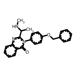 CNC(C)c1nc2ccccc2c(=O)n1-c1ccc(OCc2ccccc2)cc1